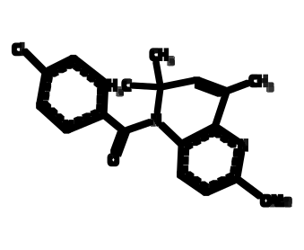 COc1ccc2c(n1)C(C)=CC(C)(C)N2C(=O)c1ccc(Cl)cc1